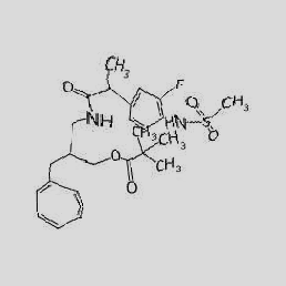 CC(C(=O)NCC(COC(=O)C(C)(C)C)Cc1ccccc1)c1ccc(NS(C)(=O)=O)c(F)c1